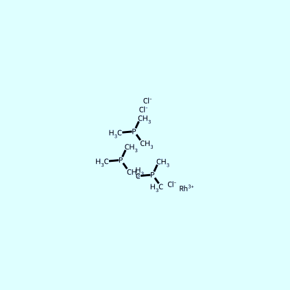 CP(C)C.CP(C)C.CP(C)C.[Cl-].[Cl-].[Cl-].[Rh+3]